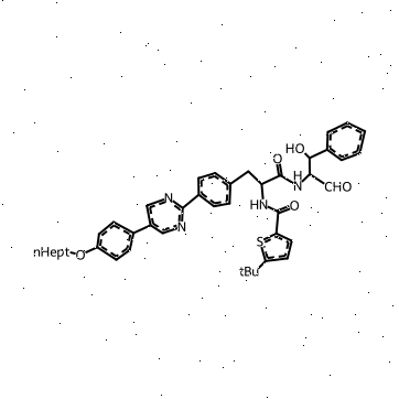 CCCCCCCOc1ccc(-c2cnc(-c3ccc(CC(NC(=O)c4ccc(C(C)(C)C)s4)C(=O)NC(C=O)C(O)c4ccccc4)cc3)nc2)cc1